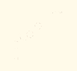 C=C(COCCO)C(=O)Oc1ccc(-c2ccc(C3CCC(CCCCC)CC3)cc2)c(C)c1